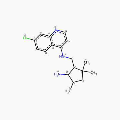 CC1CC(C)(C)C(CNc2ccnc3cc(Cl)ccc23)C1N